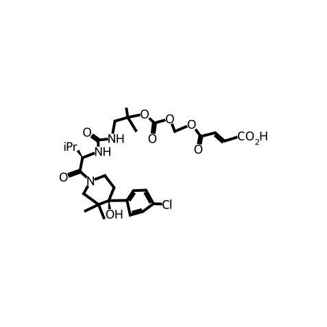 CC(C)[C@@H](NC(=O)NCC(C)(C)OC(=O)OCOC(=O)/C=C/C(=O)O)C(=O)N1CC[C@](O)(c2ccc(Cl)cc2)C(C)(C)C1